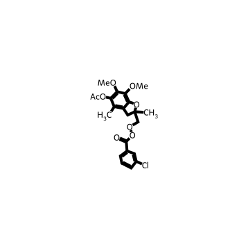 COc1c(OC(C)=O)c(C)c2c(c1OC)OC(C)(COOC(=O)c1cccc(Cl)c1)C2